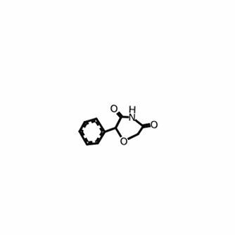 O=C1COC(c2ccccc2)C(=O)N1